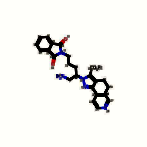 CCOC(=O)c1c2c(nn1C(CN)CCCN1C(=O)c3ccccc3C1=O)-c1ccncc1CC2